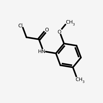 COc1ccc(C)cc1NC(=O)CCl